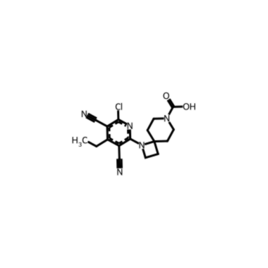 CCc1c(C#N)c(Cl)nc(N2CCC23CCN(C(=O)O)CC3)c1C#N